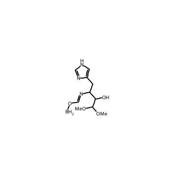 BOC=NC(Cc1c[nH]cn1)C(O)C(OC)OC